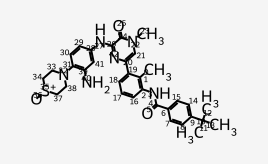 Cc1c(NC(=O)c2ccc(C(C)(C)C)cc2)cccc1-c1cn(C)c(=O)c(Nc2ccc(N3CC[S+]([O-])CC3)c(N)c2)n1